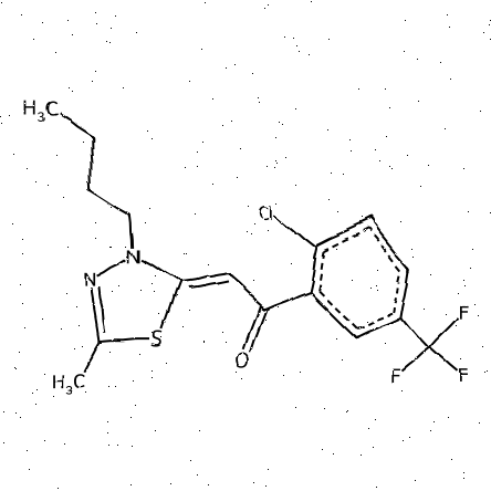 CCCCN1N=C(C)S/C1=C\C(=O)c1cc(C(F)(F)F)ccc1Cl